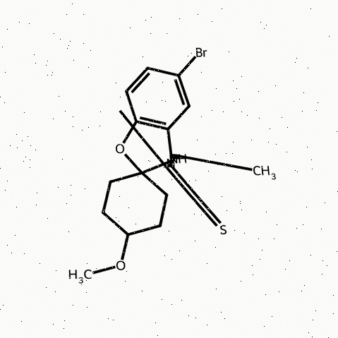 COC1CCC2(CC1)Oc1ccc(Br)cc1C21N=C(C)C(=S)N1